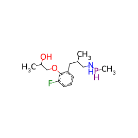 CPNCC(C)Cc1cccc(F)c1OCC(C)O